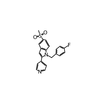 CS(=O)(=O)c1ccc2c(c1)cc(-c1ccncc1)n2Cc1ccc(F)cc1